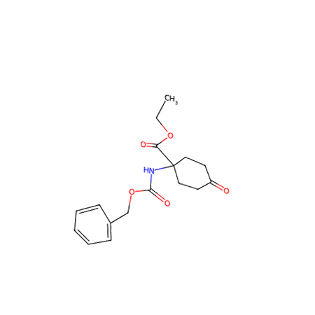 CCOC(=O)C1(NC(=O)OCc2ccccc2)CCC(=O)CC1